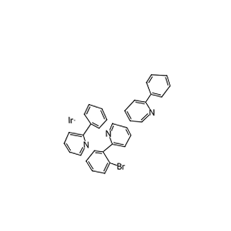 Brc1ccccc1-c1ccccn1.[Ir].c1ccc(-c2ccccn2)cc1.c1ccc(-c2ccccn2)cc1